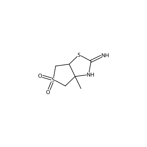 CC12CS(=O)(=O)CC1SC(=N)N2